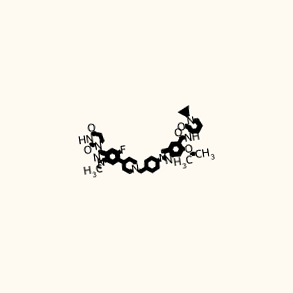 CC(C)Oc1cc2nn(C3CCC(CN4CCC(c5cc6c(cc5F)c(N5CCC(=O)NC5=O)nn6C)CC4)CC3)cc2cc1C(=O)Nc1cccn(C2CC2)c1=O